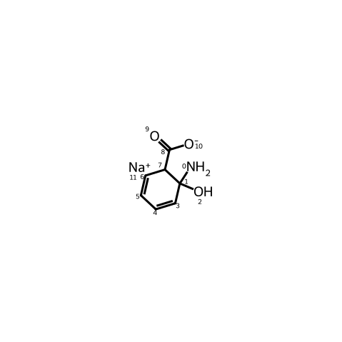 NC1(O)C=CC=CC1C(=O)[O-].[Na+]